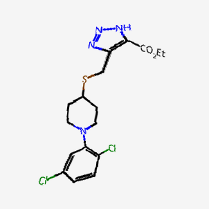 CCOC(=O)c1[nH]nnc1CSC1CCN(c2cc(Cl)ccc2Cl)CC1